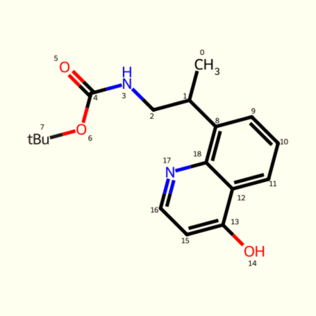 CC(CNC(=O)OC(C)(C)C)c1cccc2c(O)ccnc12